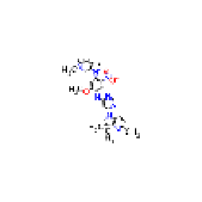 COc1cc(N2CCC[C@@H]2CN(C)C)c([N+](=O)[O-])cc1Nc1cc(N2CC(C)(C)c3nc(C)ccc32)ncn1